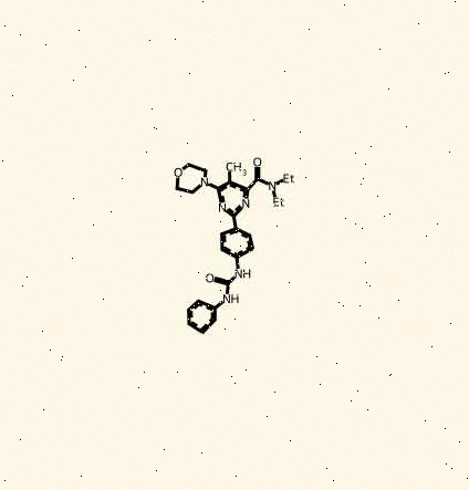 CCN(CC)C(=O)c1nc(-c2ccc(NC(=O)Nc3ccccc3)cc2)nc(N2CCOCC2)c1C